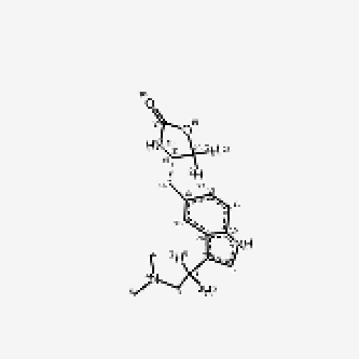 [2H]C([2H])(CN(C)C)c1c[nH]c2ccc(C[C@@H]3NC(=O)OC3([2H])[2H])cc12